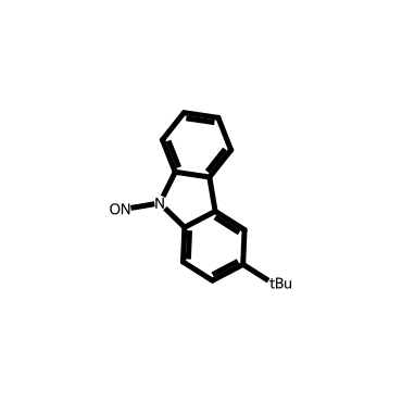 CC(C)(C)c1ccc2c(c1)c1ccccc1n2N=O